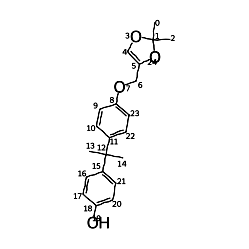 CC1(C)OC=C(COc2ccc(C(C)(C)c3ccc(O)cc3)cc2)O1